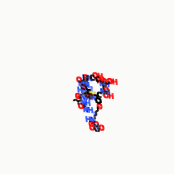 CC[C@H](C)[C@H](NC(=O)CN)C(=O)NCC(=O)N[C@H]1C[S+]([O-])c2[nH]c3cc(OCCCCCCNC(=O)ON4C(=O)CCC4=O)ccc3c2C[C@@H](CO)NC(=O)[C@H]([C@@H](C)[C@@H](O)CO)NC(=O)C[C@@H](O)CNC(=O)[C@H](CC(N)=O)NC1=O